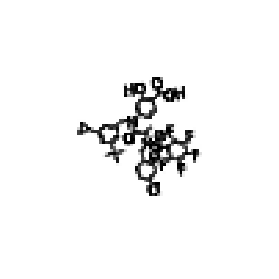 CC(C(=O)N(Cc1cc(C2CC2)cc(C(C)(C)C)c1)c1ccc(C(=O)O)c(O)c1)N(Cc1ccc(Cl)cc1)S(=O)(=O)c1c(F)c(F)c(F)c(F)c1F